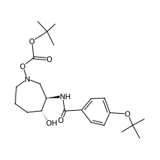 CC(C)(C)OC(=O)ON1CCC[C@@H](O)[C@H](NC(=O)c2ccc(OC(C)(C)C)cc2)C1